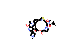 CCO[C@@H]1c2nc(cs2)-c2ccc3c(c2)c(c(-c2cc(C4(OC)CCN(C)CC4)cnc2[C@H](C)OC)n3CC)CC(C)(C)COC(=O)[C@@H]2CCCN(N2)C(=O)[C@H]1NC(=O)[C@H]1[C@H](C)[C@@H]1C